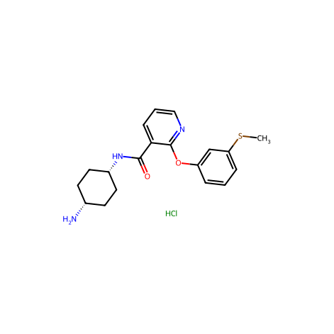 CSc1cccc(Oc2ncccc2C(=O)N[C@H]2CC[C@@H](N)CC2)c1.Cl